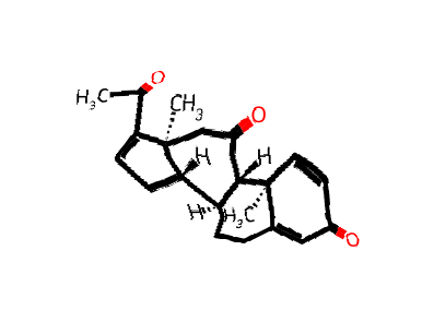 CC(=O)C1=CC[C@H]2[C@@H]3CCC4=CC(=O)C=C[C@]4(C)[C@H]3C(=O)C[C@]12C